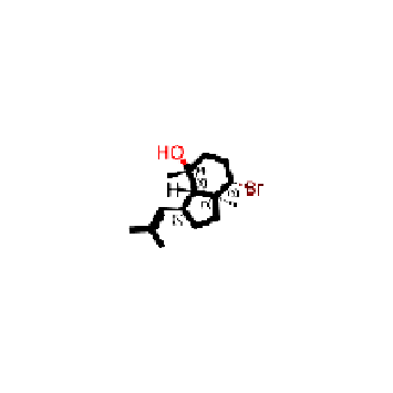 CC(C)=C[C@@H]1CC[C@]2(C)[C@@H](Br)CC[C@@](C)(O)[C@@H]12